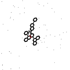 c1ccc(-c2ccc3cc(N(c4ccc(-c5cc6ccccc6c6ccccc56)cc4)c4ccccc4-c4cccc5ccccc45)ccc3c2)cc1